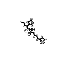 CCCC(C(=O)NC(=O)CCCCC1CCSS1)C1CCSS1